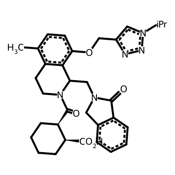 Cc1ccc(OCc2cn(C(C)C)nn2)c2c1CCN(C(=O)[C@@H]1CCCC[C@@H]1C(=O)O)C2CN1Cc2ccccc2C1=O